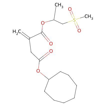 C=C(CC(=O)OC1CCCCCCC1)C(=O)OC(C)CS(C)(=O)=O